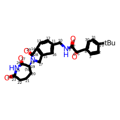 CC(C)(C)c1ccc(C(=O)C(=O)NCc2ccc3c(c2)CN([C@H]2CCCC(=O)NC2=O)C3=O)cc1